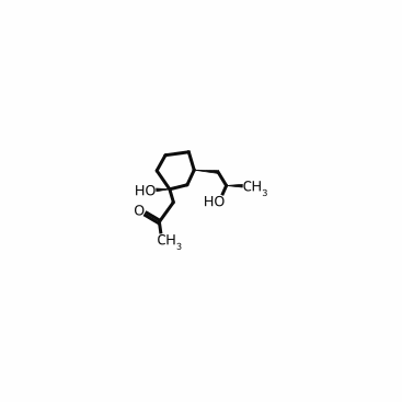 CC(=O)C[C@]1(O)CCC[C@@H](C[C@@H](C)O)C1